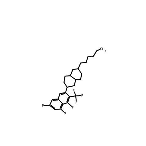 CCCCCCC1CCC2CC(c3cc4cc(F)cc(F)c4c(F)c3C(F)(F)F)CCC2C1